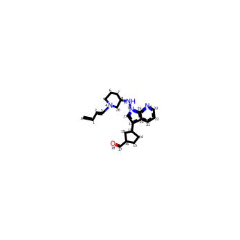 C=CC=CN1CCCC(Nn2cc(C3CCC(C=O)C3)c3cccnc32)C1